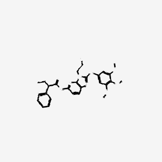 CCC(C(=O)Nc1ccc2nc(Nc3cc(OC)c(OC)c(OC)c3)n(CCN)c2n1)c1ccccc1